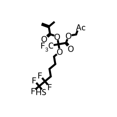 C=C(C)C(=O)OC(OCCCCC(F)(F)C(F)(F)S)(C(=O)OCC(C)=O)C(F)(F)F